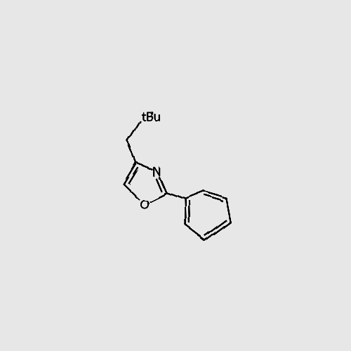 CC(C)(C)Cc1coc(-c2ccccc2)n1